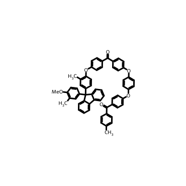 COc1ccc(C2(c3ccc(Oc4ccc(C(=O)c5ccc(Oc6ccc(Oc7ccc(C(=O)c8ccc(C)cc8)cc7)cc6)cc5)cc4)c(C)c3)c3ccccc3-c3ccccc32)cc1C